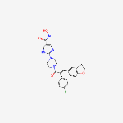 O=C(NO)C1=CN=C(N2CCN(C(=O)/C(=C/c3ccc4c(c3)CCO4)c3ccc(F)cc3)CC2)NC1